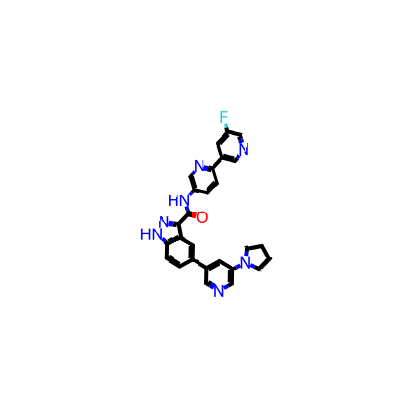 O=C(Nc1ccc(-c2cncc(F)c2)nc1)c1n[nH]c2ccc(-c3cncc(N4CCCC4)c3)cc12